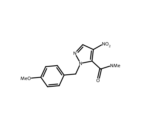 CNC(=O)c1c([N+](=O)[O-])cnn1Cc1ccc(OC)cc1